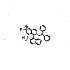 Cc1ccc2ccccc2c1C1=C2C=CC(Br)(Br)C=C2C=C[C@H]1CP(c1ccccc1)c1ccccc1